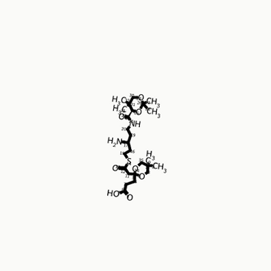 CC1(C)COC(CCC(=O)O)(CC(=O)SCCC(N)CCNC(=O)[C@@H]2OC(C)(C)OCC2(C)C)OC1